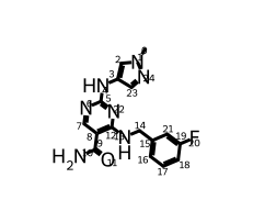 Cn1cc(Nc2ncc(C(N)=O)c(NCc3cccc(F)c3)n2)cn1